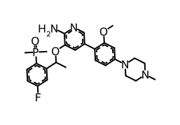 COc1cc(N2CCN(C)CC2)ccc1-c1cnc(N)c(OC(C)c2cc(F)ccc2P(C)(C)=O)c1